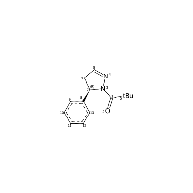 CC(C)(C)C(=O)N1N=CC[C@@H]1c1ccccc1